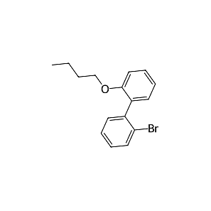 CCCCOc1ccccc1-c1ccccc1Br